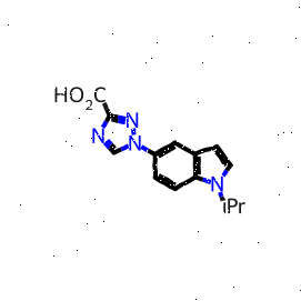 CC(C)n1ccc2cc(-n3cnc(C(=O)O)n3)ccc21